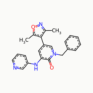 Cc1noc(C)c1-c1cc(Nc2cccnc2)c(=O)n(Cc2ccccc2)c1